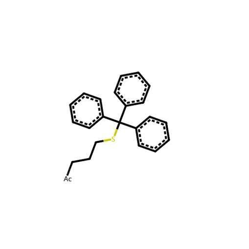 CC(=O)CCCSC(c1ccccc1)(c1ccccc1)c1ccccc1